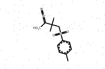 Cc1ccc(S(=O)(=O)CC(C)(C)C(=[N+]=[N-])C(=O)O)cc1